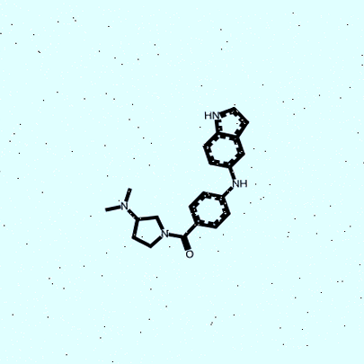 CN(C)C1CCN(C(=O)c2ccc(Nc3ccc4[nH]ccc4c3)cc2)C1